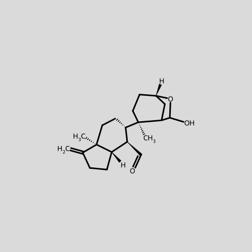 C=C1CC[C@H]2[C@H](C=O)[C@@H]([C@@]3(C)CC[C@H]4CC3C(O)O4)CC[C@]12C